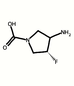 NC1CN(C(=O)O)C[C@H]1F